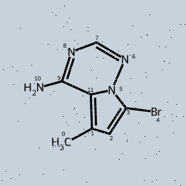 Cc1cc(Br)n2ncnc(N)c12